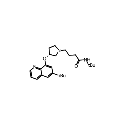 CCCCc1cc(O[C@@H]2CCN(CCCC(=O)NC(C)(C)C)C2)c2ncccc2c1